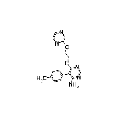 Cc1ccc(-c2c(N)ncnc2OCCOc2cnccn2)cc1